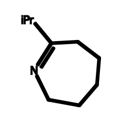 CC(C)C1=NCCCCC1